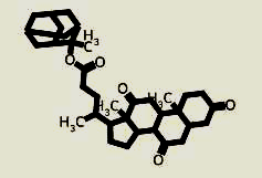 CC(CCC(=O)OC1(C)C2CC3CC(C2)CC1C3)C1CCC2C3C(=O)CC4CC(=O)CCC4(C)C3CC(=O)C12C